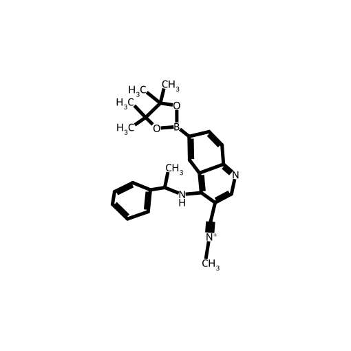 C[N+]#Cc1cnc2ccc(B3OC(C)(C)C(C)(C)O3)cc2c1NC(C)c1ccccc1